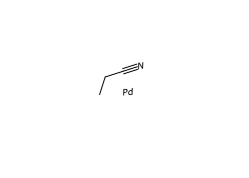 CCC#N.[Pd]